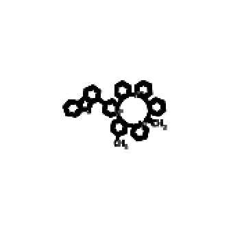 C=C1c2ccccc2-c2cccc[n+]2-c2ccccc2-c2cc(-c3cccc4c3sc3ccccc34)cc[n+]2-c2ccc(C)cc2-c2cccc[n+]21